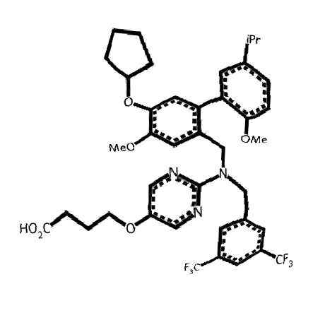 COc1cc(CN(Cc2cc(C(F)(F)F)cc(C(F)(F)F)c2)c2ncc(OCCCC(=O)O)cn2)c(-c2cc(C(C)C)ccc2OC)cc1OC1CCCC1